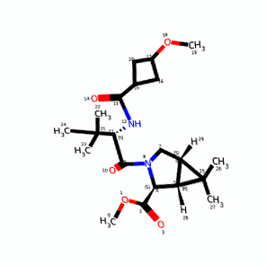 COC(=O)[C@@H]1[C@@H]2[C@H](CN1C(=O)[C@@H](NC(=O)C1CC(OC)C1)C(C)(C)C)C2(C)C